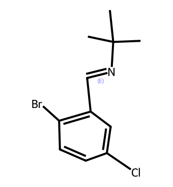 CC(C)(C)/N=C/c1cc(Cl)ccc1Br